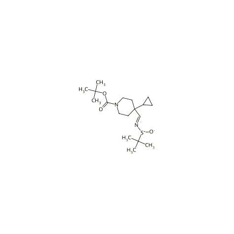 CC(C)(C)OC(=O)N1CCC(/C=N/[S+]([O-])C(C)(C)C)(C2CC2)CC1